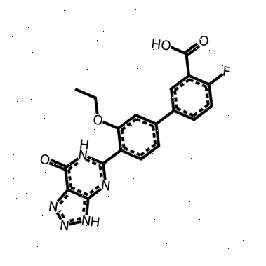 CCOc1cc(-c2ccc(F)c(C(=O)O)c2)ccc1-c1nc2[nH]nnc2c(=O)[nH]1